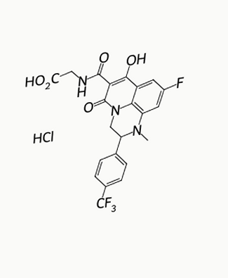 CN1c2cc(F)cc3c(O)c(C(=O)NCC(=O)O)c(=O)n(c23)CC1c1ccc(C(F)(F)F)cc1.Cl